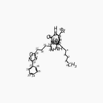 CCCCCC1NC2=C(Br)NC(=O)N3C(CCCc4nc(-c5ccccc5)no4)=NNC23N1